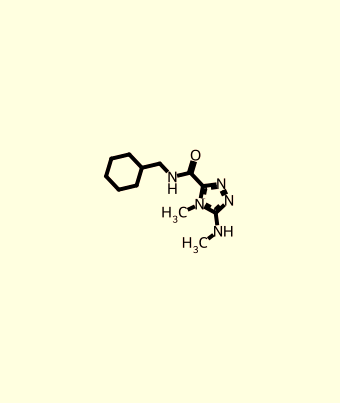 CNc1nnc(C(=O)NCC2CCCCC2)n1C